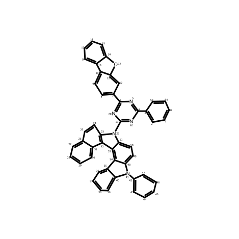 c1ccc(-c2nc(-c3ccc4c(c3)oc3ccccc34)nc(-n3c4ccc5ccccc5c4c4c5c6ccccc6n(-c6ccccc6)c5ccc43)n2)cc1